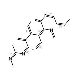 C=N/C(C(=C)/N=C\C=C/C)=C(\C=C/C)C(=C\C)/C(=C)/C=N\C(C)=N/C